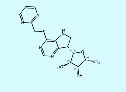 C[C@H]1O[C@@H](N2CNc3c(SCc4ncccn4)ncnc32)[C@H](O)[C@@H]1O